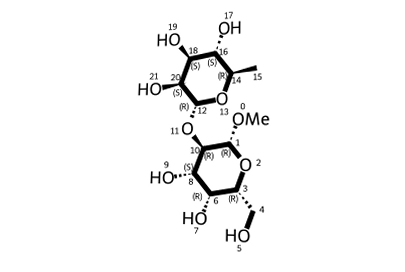 CO[C@@H]1O[C@H](CO)[C@H](O)[C@H](O)[C@H]1O[C@H]1O[C@H](C)[C@@H](O)[C@H](O)[C@@H]1O